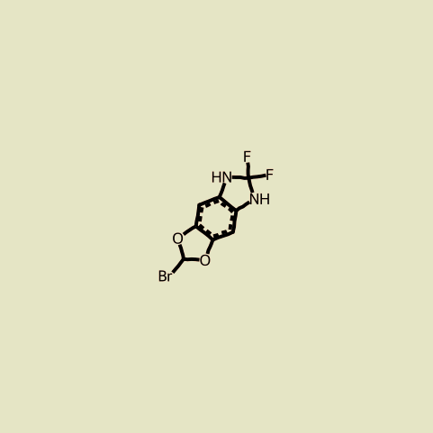 FC1(F)Nc2cc3c(cc2N1)OC(Br)O3